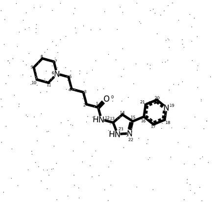 O=C(CCCCN1CCCCC1)NC1CC(c2ccncc2)=NN1